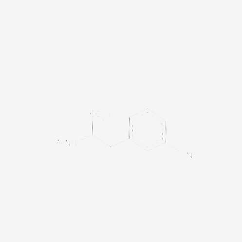 CC(=O)NC(Cc1cccc(C#N)c1)C(=O)O